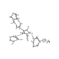 Cc1cccc(-n2c(-c3ccc4ncnn4c3)c(C)n(Cc3cccc(C(=O)O)c3)c2=O)c1